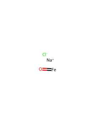 [Cl-].[Na+].[O]=[Fe]